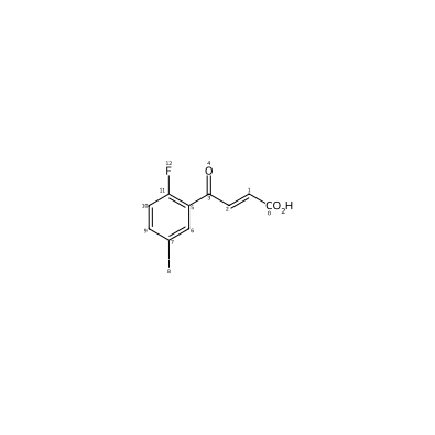 O=C(O)/C=C/C(=O)c1cc(I)ccc1F